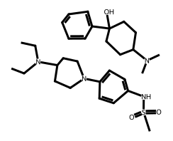 CCN(CC)C1CCN(c2ccc(NS(C)(=O)=O)cc2)CC1.CN(C)C1CCC(O)(c2ccccc2)CC1